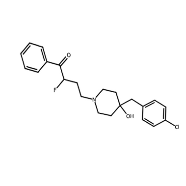 O=C(c1ccccc1)C(F)CCN1CCC(O)(Cc2ccc(Cl)cc2)CC1